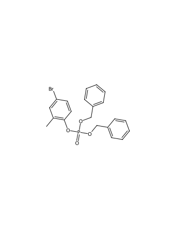 Cc1cc(Br)ccc1OP(=O)(OCc1ccccc1)OCc1ccccc1